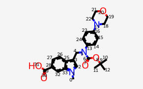 Cn1cc(CN(C(=O)OC(C)(C)C)c2ccc(N3CCOCC3)cc2)c2ccc(C(=O)O)cc21